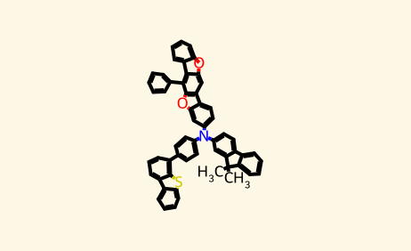 CC1(C)c2ccccc2-c2ccc(N(c3ccc(-c4cccc5c4sc4ccccc45)cc3)c3ccc4c(c3)oc3c(-c5ccccc5)c5c(cc34)oc3ccccc35)cc21